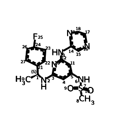 C[C@H](Nc1cc(NS(C)(=O)=O)cc(Nc2cnccn2)n1)c1ccc(F)cc1